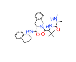 CN[C@@H](C)C(=O)N[C@H](C(=O)N1Cc2ccccc2C[C@H]1C(=O)N[C@@H]1CCCc2ccccc21)C(C)(C)C